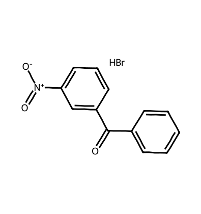 Br.O=C(c1ccccc1)c1cccc([N+](=O)[O-])c1